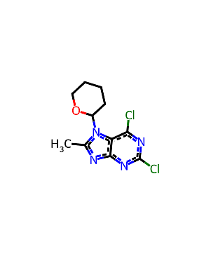 Cc1nc2nc(Cl)nc(Cl)c2n1C1CCCCO1